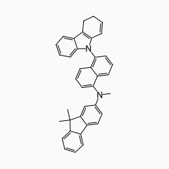 CN(c1ccc2c(c1)C(C)(C)c1ccccc1-2)c1cccc2c(-n3c4c(c5ccccc53)CCC=C4)cccc12